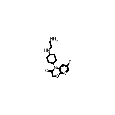 NCCN[C@H]1CC[C@H](N2C(=O)COc3ncc(F)cc32)CC1